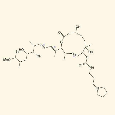 CCC(OC)C(C)CC(O)C(O)C(C)/C=C/C=C(\C)C1OC(=O)CC(O)CCC(C)(O)C(OC(=O)NCCCN2CCCC2)/C=C/C1C